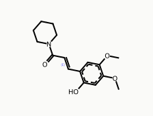 COc1cc(O)c(/C=C/C(=O)N2CCCCC2)cc1OC